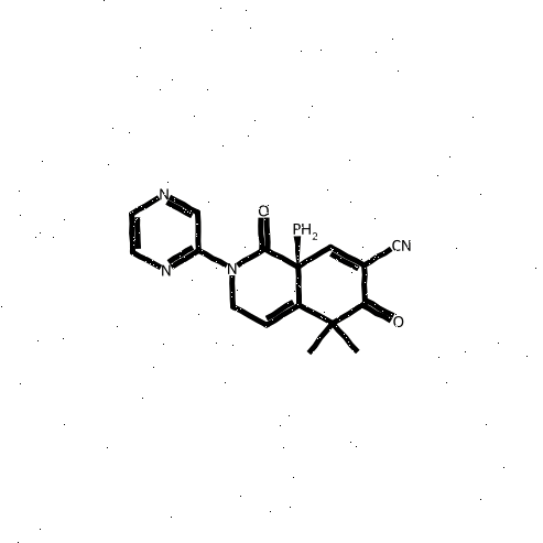 CC1(C)C(=O)C(C#N)=C[C@@]2(P)C(=O)N(c3cnccn3)CC=C12